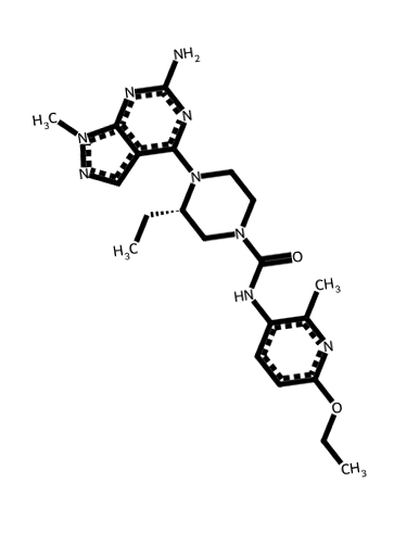 CCOc1ccc(NC(=O)N2CCN(c3nc(N)nc4c3cnn4C)[C@@H](CC)C2)c(C)n1